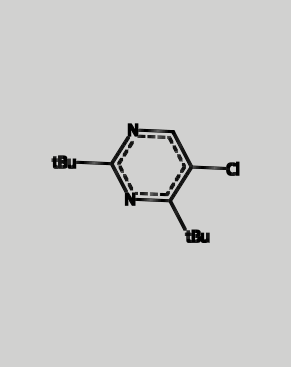 CC(C)(C)c1ncc(Cl)c(C(C)(C)C)n1